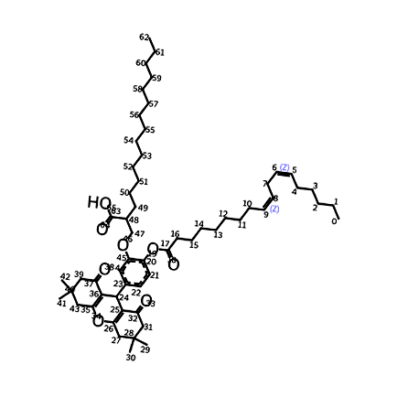 CCCCC/C=C\C/C=C\CCCCCCCC(=O)Oc1ccc(C2C3=C(CC(C)(C)CC3=O)OC3=C2C(=O)CC(C)(C)C3)cc1OCC(CCCCCCCCCCCCCC)C(=O)O